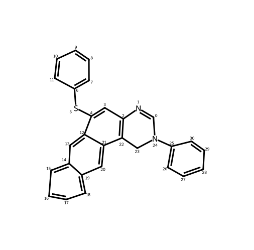 C1=Nc2cc(Sc3ccccc3)c3cc4ccccc4cc3c2CN1c1ccccc1